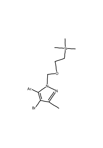 CC(=O)c1c(Br)c(C)nn1COCC[Si](C)(C)C